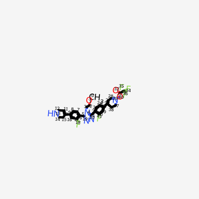 COCCn1c(-c2ccc(C3=CCNCC3)cc2F)nnc1-c1ccc(C2=CCN(OC(=O)C(F)(F)F)CC2)cc1F